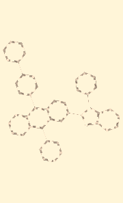 c1ccc(-c2ccc(-c3c4ccccc4c(-c4ccccc4)c4cc(-c5nc6ccccc6n5-c5ccccc5)ccc34)cc2)cc1